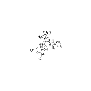 CCC[C@H](NC(=O)[C@@H]1C[C@@]2(CN1C(=O)[C@@H](N)C(C)(C)C)C(C)(C)C21CCC1)C(O)C(=O)NC1CC1